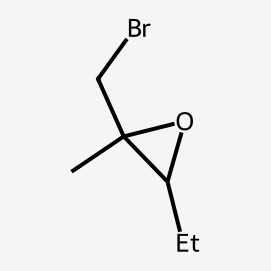 CCC1OC1(C)CBr